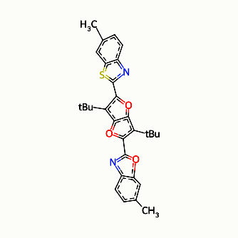 Cc1ccc2nc(-c3oc4c(C(C)(C)C)c(-c5nc6ccc(C)cc6s5)oc4c3C(C)(C)C)oc2c1